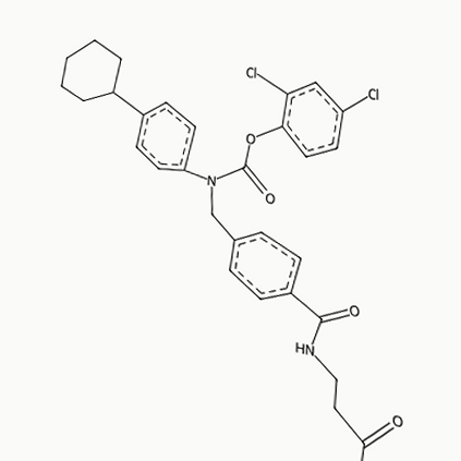 O=C(O)CCNC(=O)c1ccc(CN(C(=O)Oc2ccc(Cl)cc2Cl)c2ccc(C3CCCCC3)cc2)cc1